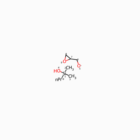 CCC[Si](C)(C)O.[O]CC1CO1